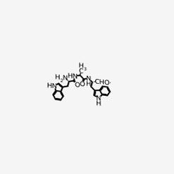 C[C@H](NC(=O)[C@@H](N)Cc1c[nH]c2ccccc12)C(=O)N[C@H]([C]=O)Cc1c[nH]c2ccccc12